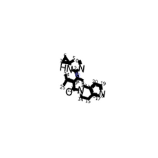 C=N/C(NC1(C)CC1)=C(\C)C(C(=O)N1CCc2cnccc2C1)=C(C)C